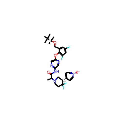 CC(C(=O)Nc1cnc(Oc2c(F)cc(F)cc2CO[Si](C)(C)C(C)(C)C)cn1)N1CCC(F)(F)[C@@H](c2cc[n+]([O-])cc2)C1